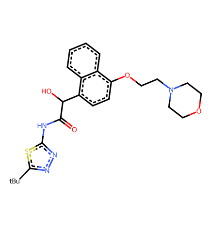 CC(C)(C)c1nnc(NC(=O)C(O)c2ccc(OCCN3CCOCC3)c3ccccc23)s1